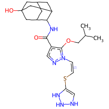 CC(C)COc1c(C(=O)NC2C3CC4CC2CC(O)(C4)C3)cnn1/C=C\SC1=CNNN1